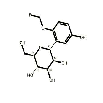 OC[C@H]1O[C@H](c2cc(O)ccc2OCF)[C@@H](O)[C@@H](O)[C@@H]1O